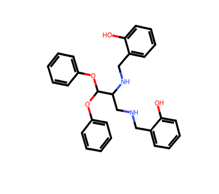 Oc1ccccc1CNCC(NCc1ccccc1O)C(Oc1ccccc1)Oc1ccccc1